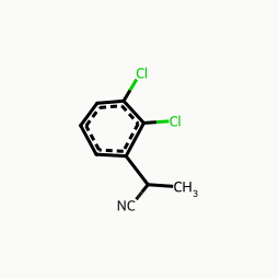 CC(C#N)c1cccc(Cl)c1Cl